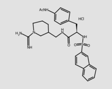 CC(=O)Nc1ccc(C[C@@H](NS(=O)(=O)c2ccc3ccccc3c2)C(=O)NCC2CCCN(C(=N)N)C2)cc1.Cl